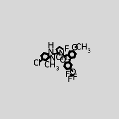 COc1ccc(-c2cccc(OC(F)(F)F)c2)c(C(=O)N2CCCC2(C)c2nc3c(C)c(Cl)ccc3[nH]2)c1F